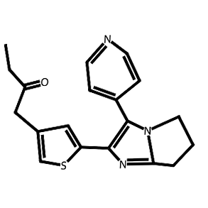 CCC(=O)Cc1csc(-c2nc3n(c2-c2ccncc2)CCC3)c1